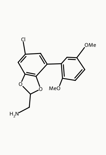 COc1ccc(OC)c(-c2cc(Cl)cc3c2OC(CN)O3)c1